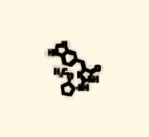 CO[C@@H]1CCC[C@H]1NC1=N/C(=C\c2ccc3[nH]cnc3c2)C(=O)N1